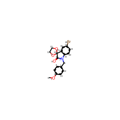 COc1ccc(CN2C(=O)C3(OCCO3)c3cc(Br)ccc32)cc1